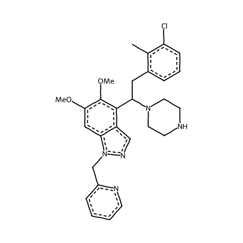 COc1cc2c(cnn2Cc2ccccn2)c(C(Cc2cccc(Cl)c2C)N2CCNCC2)c1OC